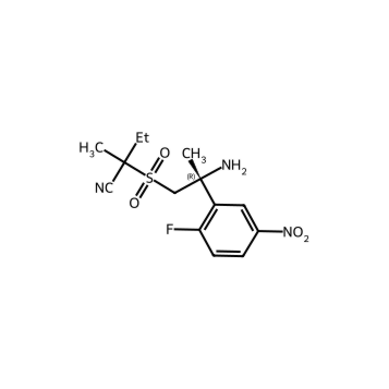 CCC(C)(C#N)S(=O)(=O)C[C@](C)(N)c1cc([N+](=O)[O-])ccc1F